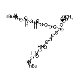 CCCCc1cn(CCOCCC(=O)NCCOCCNC(=O)CCOCCOCCOCCOCCC(CCOCCOCCOCCOCCC(=O)NCCOCCNC(=O)CCOCCn2cc(CCCC)nn2)C(=O)c2ccc(-c3nnc(S(C)(=O)=O)o3)cc2)nn1